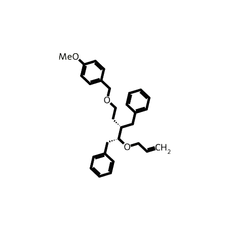 C=CCO[C@H](Cc1ccccc1)[C@H](CCOCc1ccc(OC)cc1)Cc1ccccc1